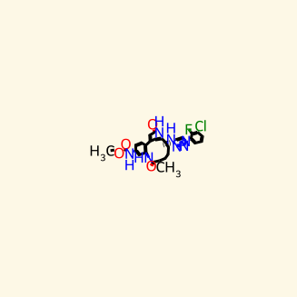 CCOC(=O)Nc1ccc2c(c1)NC(=O)C(C)CCC[C@H](Nc1cn(-c3cccc(Cl)c3F)nn1)c1cc-2cc(=O)[nH]1